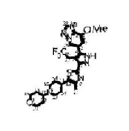 COc1cc(-c2[nH]nc(-c3nc(C)c(C4CCN(C5CCOCC5)CC4)s3)c2CC(F)(F)F)cn2ncnc12